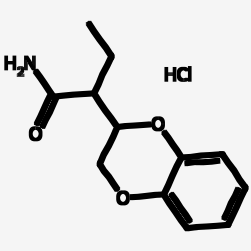 CCC(C(N)=O)C1COc2ccccc2O1.Cl